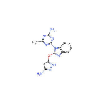 Cc1nc(N)nc(-n2c(Oc3cc(N)n[nH]3)nc3ccccc32)n1